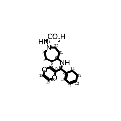 O=C(O)NN1CCCC(NC(C2=CC=CCC2)C2=COC=CO2)CC1